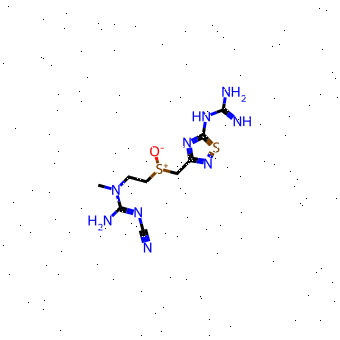 CN(CC[S+]([O-])Cc1nsc(NC(=N)N)n1)C(N)=NC#N